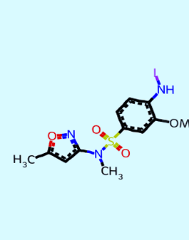 COc1cc(S(=O)(=O)N(C)c2cc(C)on2)ccc1NI